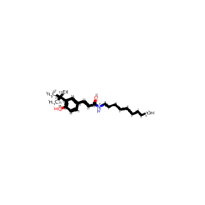 CCCCCCCCCCCCCCCCCCNC(=O)C=Cc1ccc(O)c(C(C)(C)CC)c1